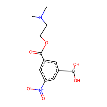 CN(C)CCOC(=O)c1cc(B(O)O)cc([N+](=O)[O-])c1